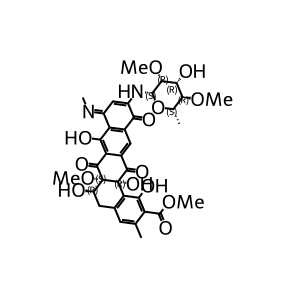 CN=C1C=C(N[C@H]2O[C@@H](C)[C@H](OC)[C@@H](O)[C@H]2OC)C(=O)c2cc3c(c(O)c21)C(=O)[C@]1(OC)[C@H](O)Cc2cc(C)c(C(=O)OC)c(O)c2[C@]1(O)C3=O